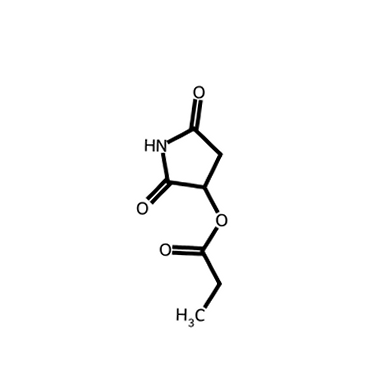 CCC(=O)OC1CC(=O)NC1=O